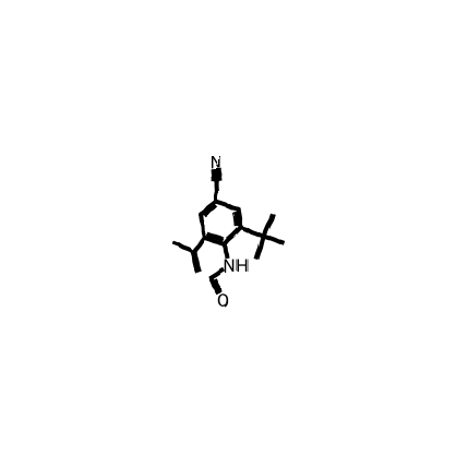 C=C(C)c1cc(C#N)cc(C(C)(C)C)c1NC=O